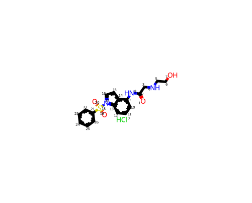 Cl.O=C(CNCCO)Nc1cccc2c1ccn2S(=O)(=O)c1ccccc1